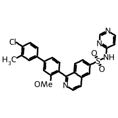 COc1cc(-c2ccc(Cl)c(C)c2)ccc1-c1nccc2cc(S(=O)(=O)Nc3ccncn3)ccc12